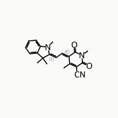 CC1=C(C#N)C(=O)N(C)C(=O)/C1=C/C=C1\N(C)c2ccccc2C1(C)C